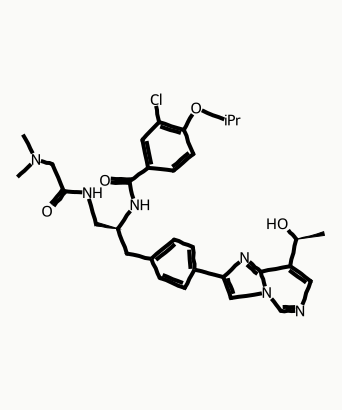 CC(C)Oc1ccc(C(=O)N[C@H](CNC(=O)CN(C)C)Cc2ccc(-c3cn4cncc([C@H](C)O)c4n3)cc2)cc1Cl